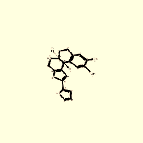 Oc1cc2c(cc1O)[C@@H]1c3cc(-c4cccs4)sc3CN[C@H]1CC2